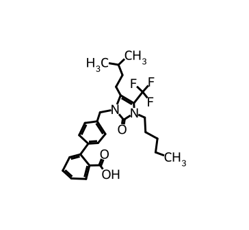 CCCCCn1c(C(F)(F)F)c(CCC(C)C)n(Cc2ccc(-c3ccccc3C(=O)O)cc2)c1=O